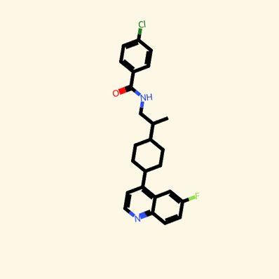 CC(CNC(=O)c1ccc(Cl)cc1)C1CCC(c2ccnc3ccc(F)cc23)CC1